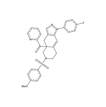 COc1ccc(S(=O)(=O)N2CCC3=Cc4c(cnn4-c4ccc(F)cc4)CC3(C(=O)c3ccccn3)C2)cc1